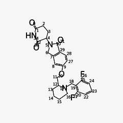 O=C1CCC(N2Cc3cc(OCC4CCCCN4Cc4c(F)cccc4F)ccc3C2=O)C(=O)N1